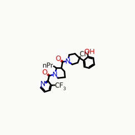 CCCC1C(C(=O)N2CCC(C#N)(c3ccccc3O)CC2)CCCN1C(=O)c1ncccc1C(F)(F)F